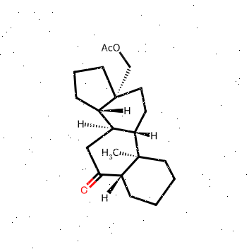 CC(=O)OC[C@@]12CCC[C@H]1[C@@H]1CC(=O)[C@H]3CCCC[C@]3(C)[C@H]1CC2